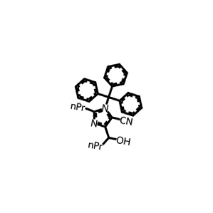 CCCc1nc(C(O)CCC)c(C#N)n1C(c1ccccc1)(c1ccccc1)c1ccccc1